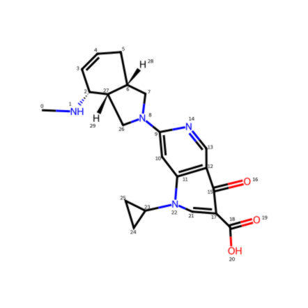 CN[C@@H]1C=CC[C@@H]2CN(c3cc4c(cn3)c(=O)c(C(=O)O)cn4C3CC3)C[C@@H]21